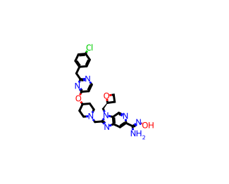 N/C(=N\O)c1cc2nc(CN3CCC(Oc4ccnc(Cc5ccc(Cl)cc5)n4)CC3)n(C[C@@H]3CCO3)c2cn1